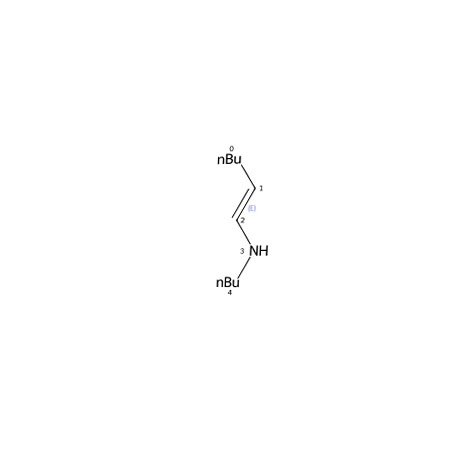 CCCC/C=C/NCCCC